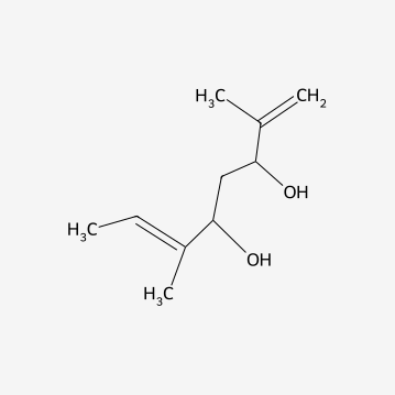 C=C(C)C(O)CC(O)C(C)=CC